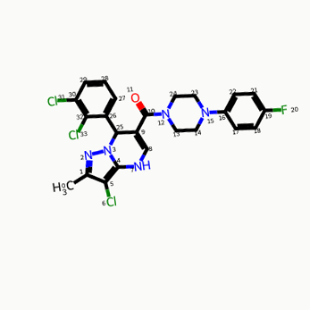 Cc1nn2c(c1Cl)NC=C(C(=O)N1CCN(c3ccc(F)cc3)CC1)C2c1cccc(Cl)c1Cl